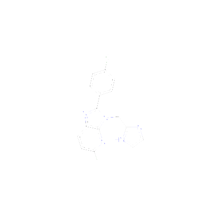 Clc1ccc(-c2nc3ccc(Cl)nc3n2Cc2ncc[nH]2)cc1